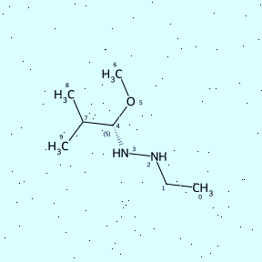 CCNN[C@@H](OC)C(C)C